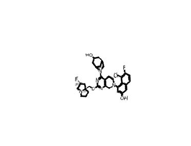 Oc1cc(N2CCc3c(nc(OC[C@@]45CCCN4C[C@H](F)C5)nc3N3CC4CC(O)CC3C4)C2)c2c(Cl)c(F)ccc2c1